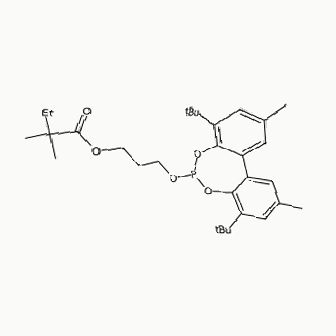 CCC(C)(C)C(=O)OCCCOp1oc2c(C(C)(C)C)cc(C)cc2c2cc(C)cc(C(C)(C)C)c2o1